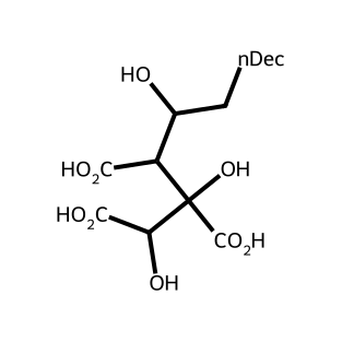 CCCCCCCCCCCC(O)C(C(=O)O)C(O)(C(=O)O)C(O)C(=O)O